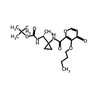 CCCCOc1c(C(=O)NC2([C@@H](C)NC(=O)OC(C)(C)C)CC2)occc1=O